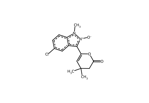 Cn1c2ccc(Cl)cc2c(C2=CC(C)(C)CC(=O)O2)[n+]1[O-]